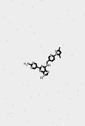 CCn1cnc2c(NCc3ccc(-n4nc(C)cc4C)nc3)nc(-c3cnc(N)nc3)nc21